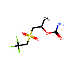 CC(CS(=O)(=O)CC(F)(F)F)OC(N)=O